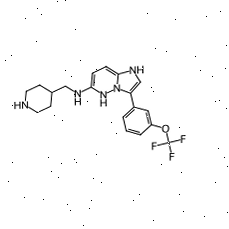 FC(F)(F)Oc1cccc(C2=CNC3=CC=C(NCC4CCNCC4)NN32)c1